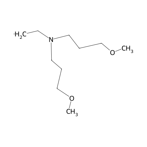 [CH2]CN(CCCOC)CCCOC